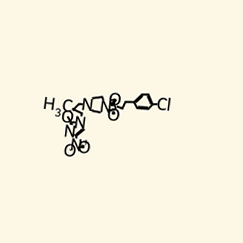 C[C@]1(CN2CCN(S(=O)(=O)CCc3ccc(Cl)cc3)CC2)Cn2cc([N+](=O)[O-])nc2O1